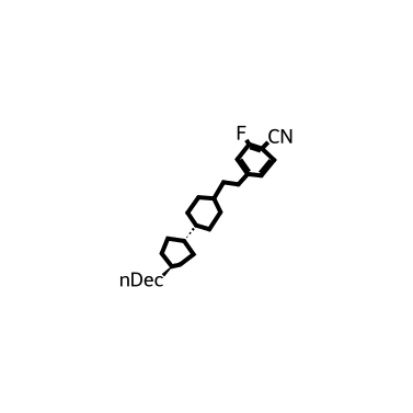 CCCCCCCCCC[C@H]1CC[C@H](C2CCC(CCc3ccc(C#N)c(F)c3)CC2)CC1